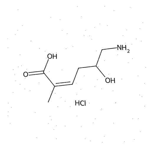 CC(=CCC(O)CN)C(=O)O.Cl